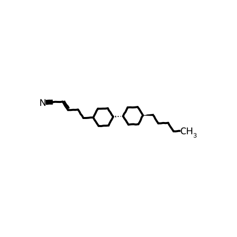 CCCCC[C@H]1CC[C@H](C2CCC(CCC=CC#N)CC2)CC1